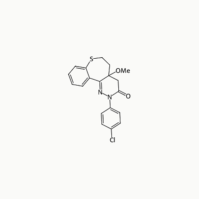 COC12CCSc3ccccc3C1=NN(c1ccc(Cl)cc1)C(=O)C2